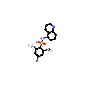 Cc1cc(Br)cc(C)c1S(=O)(=O)Nc1cc[c]c2ncccc12